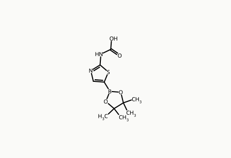 CC1(C)OB(c2cnc(NC(=O)O)s2)OC1(C)C